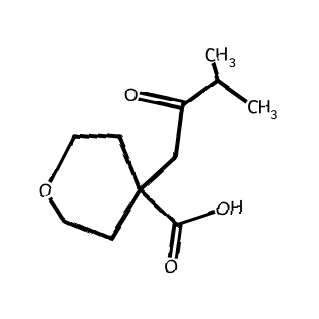 CC(C)C(=O)CC1(C(=O)O)CCOCC1